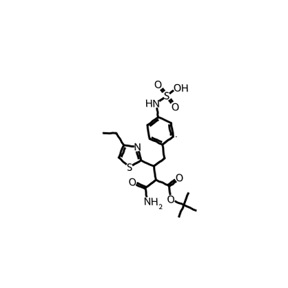 CCc1csc(C(Cc2[c]cc(NS(=O)(=O)O)cc2)C(C(N)=O)C(=O)OC(C)(C)C)n1